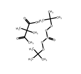 CC(=O)C(C)(C)C(=O)O.CC(C)(C)O[O][Ti](=[O])[O]OC(C)(C)C